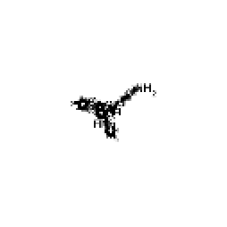 Cc1ccc(S(=O)(=O)n2ccc3c(NC(=O)CCOCCOCCN)c(C(=O)Nc4ccc(C)cn4)ccc32)cc1